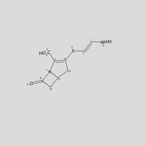 CC(=O)NC=CSC1=C(C(=O)O)N2C(=O)CC2C1